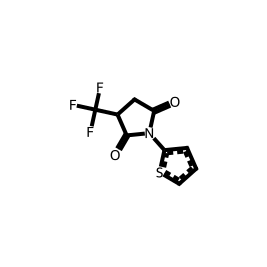 O=C1CC(C(F)(F)F)C(=O)N1c1cccs1